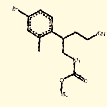 Cc1cc(Br)ccc1C(CCO)CNC(=O)OC(C)(C)C